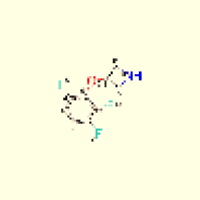 Fc1ccc(F)c(OC2CNC2)c1F